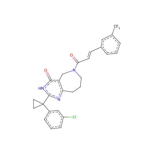 O=C(/C=C/c1cccc(C(F)(F)F)c1)N1CCCc2nc(C3(c4cccc(Cl)c4)CC3)[nH]c(=O)c2C1